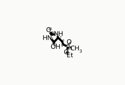 CCOP(C)(=O)CCC1NC(=O)NC1O